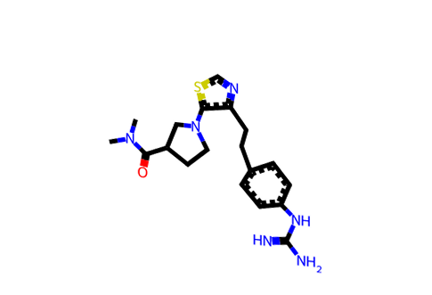 CN(C)C(=O)C1CCN(c2scnc2CCc2ccc(NC(=N)N)cc2)C1